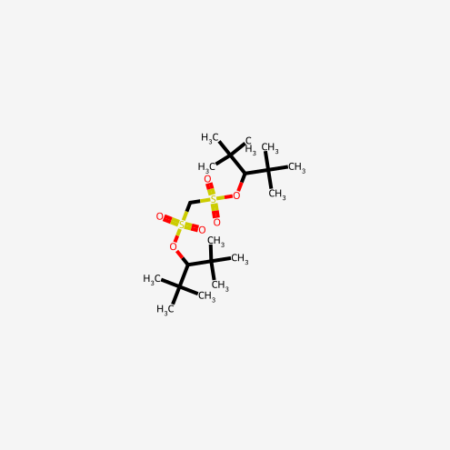 CC(C)(C)C(OS(=O)(=O)CS(=O)(=O)OC(C(C)(C)C)C(C)(C)C)C(C)(C)C